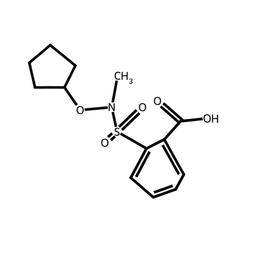 CN(OC1CCCC1)S(=O)(=O)c1ccccc1C(=O)O